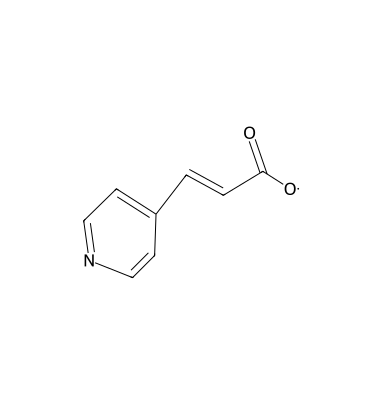 [O]C(=O)C=Cc1ccncc1